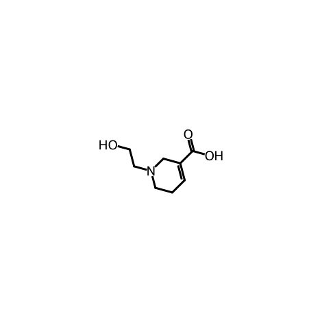 O=C(O)C1=CCCN(CCO)C1